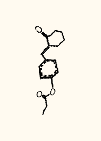 CCC(=O)Oc1ccc(C=C2CCCCC2=O)cc1